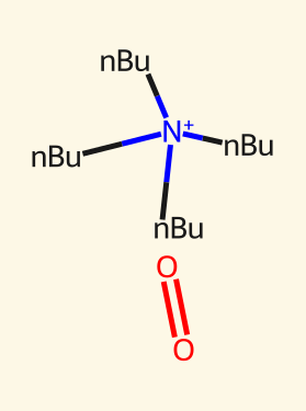 CCCC[N+](CCCC)(CCCC)CCCC.O=O